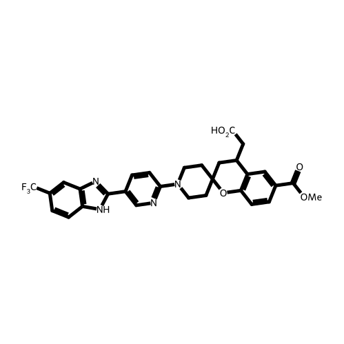 COC(=O)c1ccc2c(c1)C(CC(=O)O)CC1(CCN(c3ccc(-c4nc5cc(C(F)(F)F)ccc5[nH]4)cn3)CC1)O2